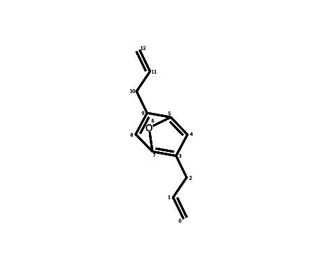 C=CCc1cc2oc1cc2CC=C